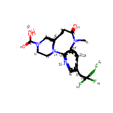 CN1C(=O)CC2CN(C(=O)O)CCN2c2ncc(C(F)(F)F)cc21